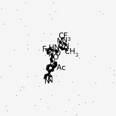 CC(=O)c1cn(CC(=O)N2C[C@H](F)C[C@H]2C(=O)Nc2cc(C)nc3nc(C(F)(F)F)nn23)c2ccc(-c3ccnnc3)cc12